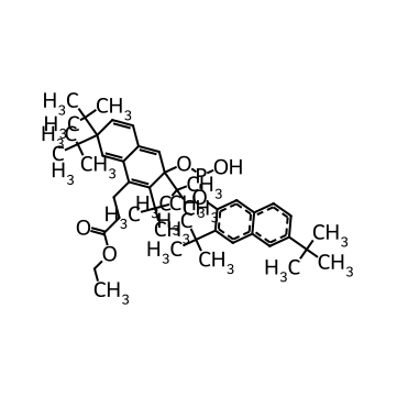 CCOC(=O)CCC1=C(C(C)(C)C)C(OP(O)Oc2cc3ccc(C(C)(C)C)cc3cc2C(C)(C)C)(C(C)(C)C)C=C2C=CC(C(C)(C)C)(C(C)(C)C)C=C21